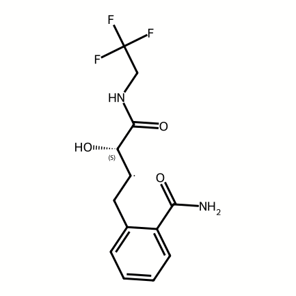 NC(=O)c1ccccc1C[CH][C@H](O)C(=O)NCC(F)(F)F